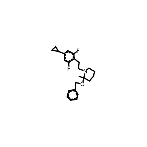 CC1(OCc2ccccc2)CCCCN1CCc1c(F)cc(C2CC2)cc1F